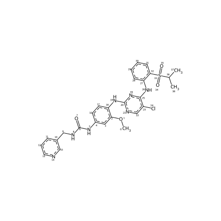 COc1cc(NC(=O)NCc2cccnc2)ccc1Nc1ncc(Cl)c(Nc2ccccc2S(=O)(=O)C(C)C)n1